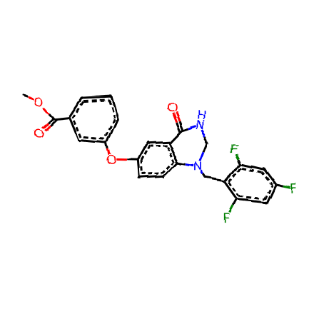 COC(=O)c1cccc(Oc2ccc3c(c2)C(=O)NCN3Cc2c(F)cc(F)cc2F)c1